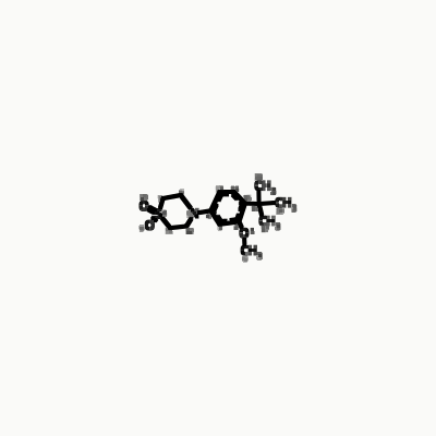 COc1cc(N2CCS(=O)(=O)CC2)ccc1C(C)(C)C